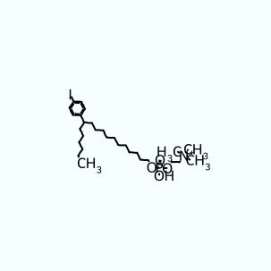 CCCCCCC(CCCCCCCCCCCOP(=O)(O)OCC[N+](C)(C)C)c1ccc(I)cc1